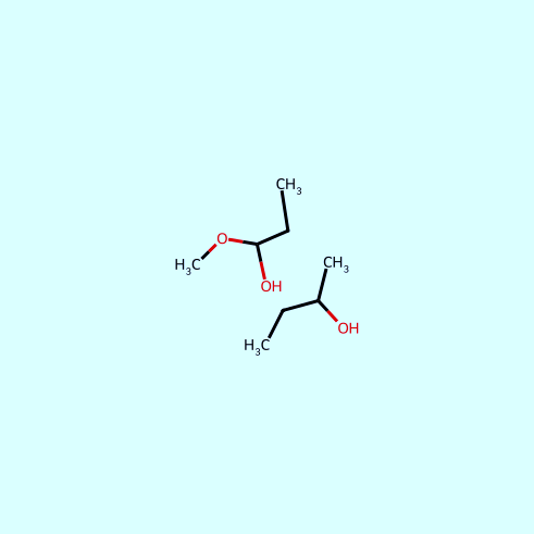 CCC(C)O.CCC(O)OC